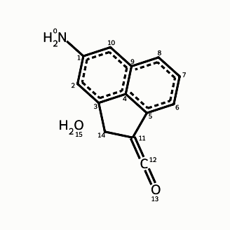 Nc1cc2c3c(cccc3c1)C(=C=O)C2.O